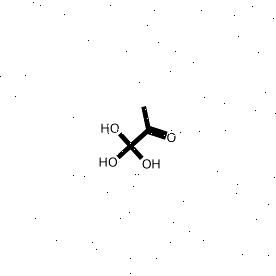 CC(=O)C(O)(O)O